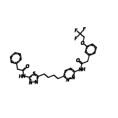 O=C(Cc1cccc(OCC(F)(F)F)c1)Nc1ccc(CCCCc2nnc(NC(=O)Cc3ccccc3)s2)nn1